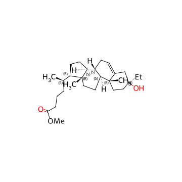 CC[C@]1(O)CC[C@@]2(C)C(=CC[C@H]3[C@@H]4CC[C@H]([C@H](C)CCCC(=O)OC)[C@@]4(C)CC[C@@H]32)C1